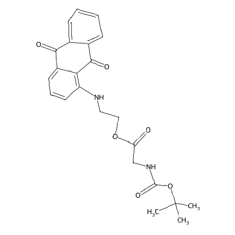 CC(C)(C)OC(=O)NCC(=O)OCCNc1cccc2c1C(=O)c1ccccc1C2=O